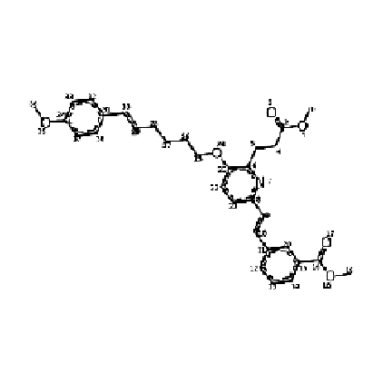 COC(=O)CCc1nc(C=Cc2cccc(C(=O)OC)c2)ccc1OCCCCC=Cc1ccc(OC)cc1